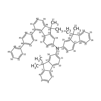 CC1(C)c2ccccc2-c2ccc(N(c3ccc4c(c3)C(C)(C)c3ccccc3-4)c3ccc4c(c3)C(C)(C)c3cccc(-c5ccc(-c6ccccc6)cc5)c3-4)cc21